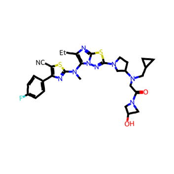 CCc1nc2sc(N3CCC(N(CC(=O)N4CC(O)C4)CC4CC4)C3)nn2c1N(C)c1nc(-c2ccc(F)cc2)c(C#N)s1